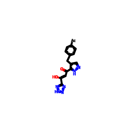 CC(=O)c1ccc(Cc2cn[nH]c2C(=O)C=C(O)c2nn[nH]n2)cc1